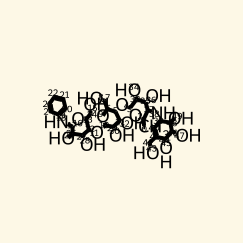 CC1OC(OC2C(CO)OC(OC3C(CO)OC(Nc4ccccc4)C(O)C3O)C(O)C2O)C(O)C(O)C1NC1C=C(CO)C(O)C(O)C1O